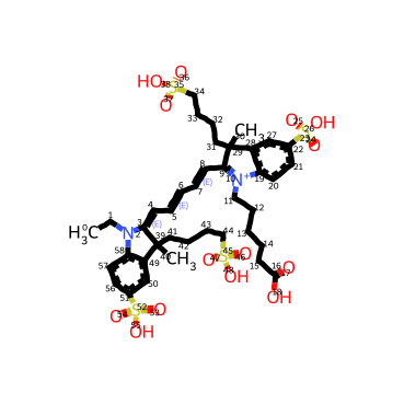 CCN1/C(=C/C=C/C=C/C2=[N+](CCCCCC(=O)O)c3ccc(S(=O)(=O)O)cc3C2(C)CCCCS(=O)(=O)O)C(C)(CCCCS(=O)(=O)O)c2cc(S(=O)(=O)O)ccc21